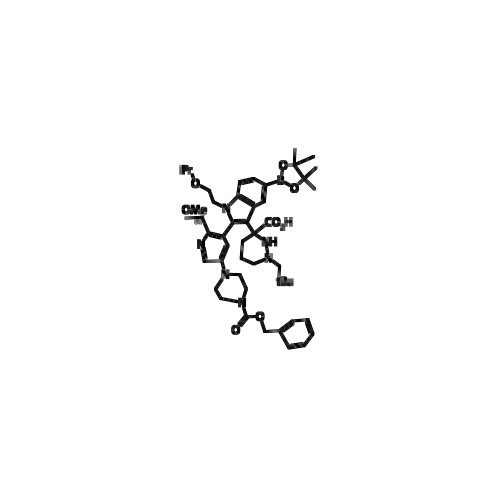 CO[C@@H](C)c1ncc(N2CCN(C(=O)OCc3ccccc3)CC2)cc1-c1c(C2(C(=O)O)CCCN(CC(C)(C)C)N2)c2cc(B3OC(C)(C)C(C)(C)O3)ccc2n1CCOC(C)C